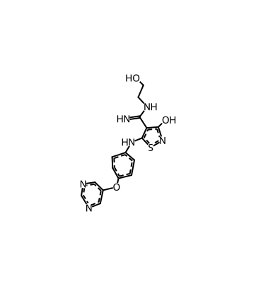 N=C(NCCO)c1c(O)nsc1Nc1ccc(Oc2cncnc2)cc1